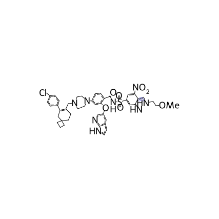 COCCN/C=C1\C(=N)C=C(S(=O)(=O)NC(=O)c2ccc(N3CCN(CC4=C(c5ccc(Cl)cc5)CC5(CCC5)CC4)CC3)cc2Oc2cnc3[nH]ccc3c2)C=C1[N+](=O)[O-]